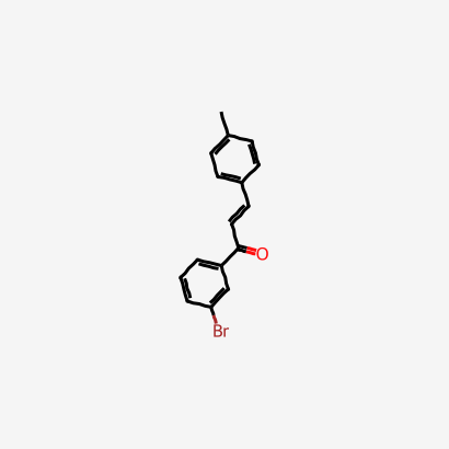 Cc1ccc(C=CC(=O)c2cccc(Br)c2)cc1